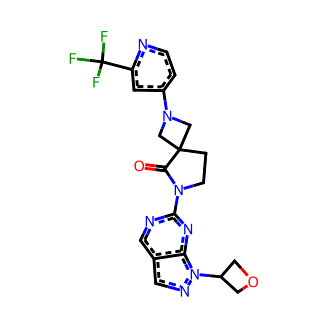 O=C1N(c2ncc3cnn(C4COC4)c3n2)CCC12CN(c1ccnc(C(F)(F)F)c1)C2